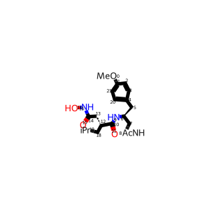 COc1ccc(C[C@@H](CNC(C)=O)NC(=O)[C@@H](CC(=O)NO)CC(C)C)cc1